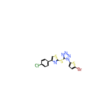 Clc1ccc(-c2csc(Sc3nnnn3-c3ccc(Br)s3)n2)cc1